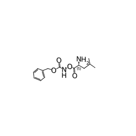 CC(C)C[C@H](N)C(=O)ONC(=O)OCc1ccccc1